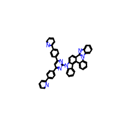 c1ccc(-c2ccc(-c3cc(-c4ccc(-c5ccccn5)cc4)nc(-n4c5ccccc5c5c6c7ccccc7n7c8ccccc8nc7c6ccc54)n3)cc2)nc1